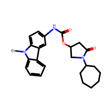 CCn1c2ccccc2c2cc(NC(=O)OC3CC(=O)N(C4CCCCCC4)C3)ccc21